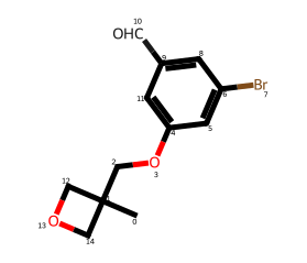 CC1(COc2cc(Br)cc(C=O)c2)COC1